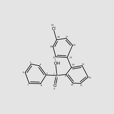 O=P(O)(c1ccccc1)c1ccccc1-c1ccc(Cl)cc1